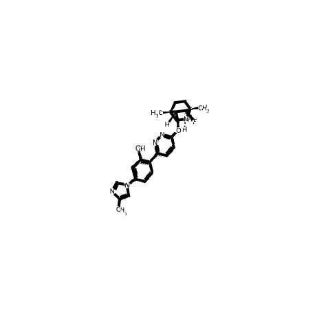 Cc1cn(-c2ccc(-c3ccc(O[C@H]4[C@H](F)[C@]5(C)CC[C@@]4(C)CN5)nn3)c(O)c2)cn1